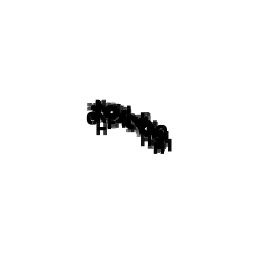 [2H]C([2H])([2H])NC(=O)c1ccc(N2CCN(C([2H])([2H])c3ccc4nc(C)c(=O)[nH]c4c3F)CC2)c(F)n1